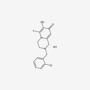 Cl.O=c1cc2n(c(F)c1O)CCN(Cc1ccccc1Cl)C2